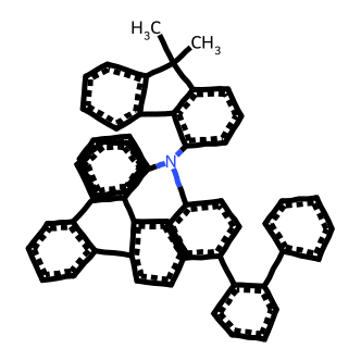 CC1(C)c2ccccc2-c2c(N(c3ccc(-c4ccccc4-c4ccccc4)cc3)c3ccccc3-c3ccccc3-c3ccccc3-c3ccccc3)cccc21